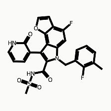 Cc1cccc(Cn2c(C(=O)NS(C)(=O)=O)c(-c3ccc[nH]c3=O)c3c4occc4c(F)cc32)c1F